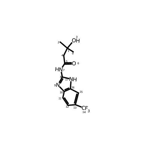 CC(C)(O)CC(=O)Nc1nc2ccc(C(F)(F)F)cc2[nH]1